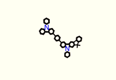 CC1(C)c2ccccc2-c2cc3c4cc(-c5ccc(-c6ccc7c(c6)c6ccccc6n7-c6ccccc6)cc5)ccc4n(-c4ccccc4)c3cc21